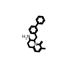 C=C1C(C)=CC=C2CCC(N)C(Cc3cccc(-c4ccccc4)c3)N12